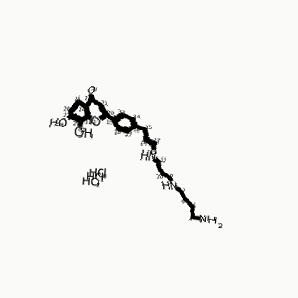 Cl.Cl.Cl.NCCCCNCCCNCCCc1ccc(-c2cc(=O)c3ccc(O)c(O)c3o2)cc1